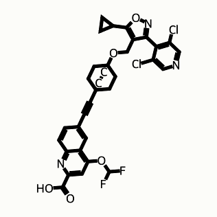 O=C(O)c1cc(OC(F)F)c2cc(C#CC34CCC(OCc5c(-c6c(Cl)cncc6Cl)noc5C5CC5)(CC3)CC4)ccc2n1